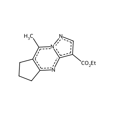 CCOC(=O)c1cnn2c(C)c3c(nc12)CCC3